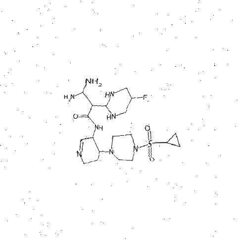 NC(N)C(C(=O)NC1C=NCCC1N1CCN(S(=O)(=O)C2CC2)CC1)C1NCC(F)CN1